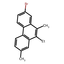 CCc1c(C)c2cc(Br)ccc2c2ccc(C)cc12